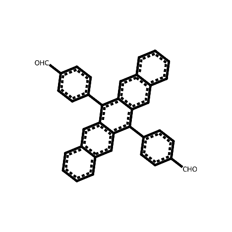 O=Cc1ccc(-c2c3cc4ccccc4cc3c(-c3ccc(C=O)cc3)c3cc4ccccc4cc23)cc1